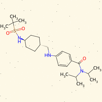 CC(C)N(C(=O)c1ccc(NC[C@H]2CC[C@H](NS(=O)(=O)C(C)(C)C)CC2)cc1)C(C)C